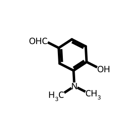 CN(C)c1cc(C=O)ccc1O